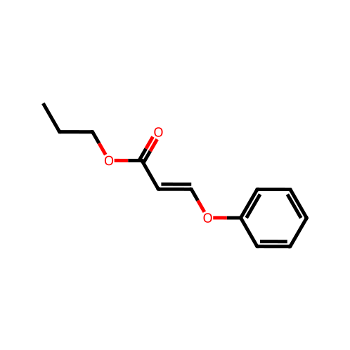 CCCOC(=O)C=COc1ccccc1